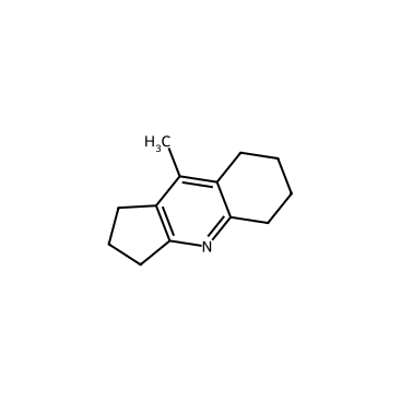 Cc1c2c(nc3c1CCC3)CCCC2